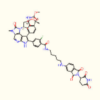 COC(=O)N[C@@H]1CC[C@@H](n2c(=O)n(C)c3cnc4[nH]c(-c5ccc(C(=O)NCCCCCNc6ccc7c(c6)C(=O)N(C6CCC(=O)NC6=O)C7=O)c(F)c5)c(-c5ccc6c(c5)COC6(C)C)c4c32)C1